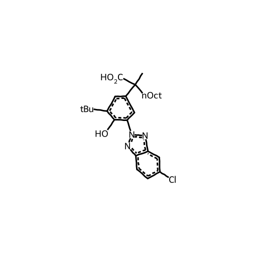 CCCCCCCCC(C)(C(=O)O)c1cc(-n2nc3ccc(Cl)cc3n2)c(O)c(C(C)(C)C)c1